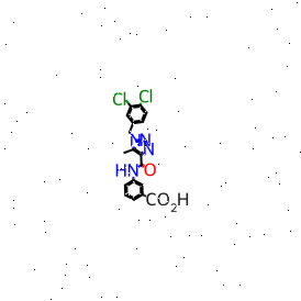 Cc1c(C(=O)Nc2cccc(C(=O)O)c2)nnn1Cc1ccc(Cl)c(Cl)c1